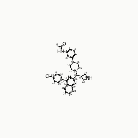 CC(=O)Nc1cccc(C2CCN(C(c3nc(-c4ccc(Cl)cc4)c4ccccc4n3)C3CNC3)CC2)c1